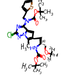 [2H]C([2H])([2H])OC[C@@H](Cc1cc2c(N(Cc3cccs3)C(=O)OC(C)(C)C)nc(Cl)nn2c1C)NC(=O)OC(C)(C)C